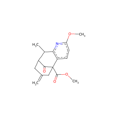 C=C1CC2C(=O)C(C(=O)OC)(C1)c1ccc(OC)nc1C2C